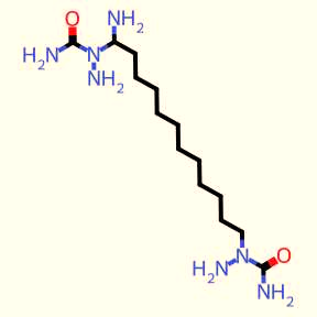 NC(=O)N(N)CCCCCCCCCCCC(N)N(N)C(N)=O